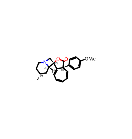 COc1ccc([C@@]23C=CC=CC=C2[C@@]2(CN4CC[C@@H](C)C[C@H]42)OC3=O)cc1